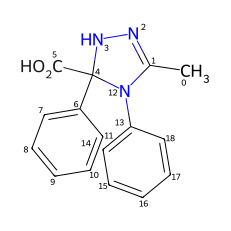 CC1=NNC(C(=O)O)(c2ccccc2)N1c1ccccc1